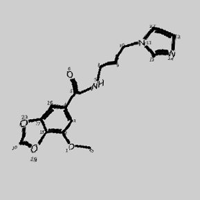 COc1cc(C(=O)NCCCn2ccnc2)cc2c1OCO2